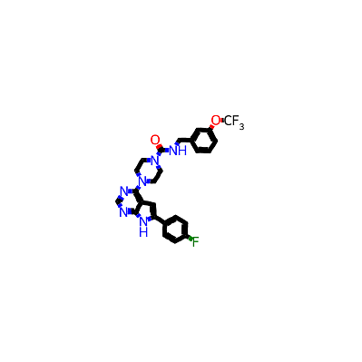 O=C(NCc1cccc(OC(F)(F)F)c1)N1CCN(c2ncnc3[nH]c(-c4ccc(F)cc4)cc23)CC1